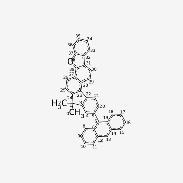 CC1(C)c2cc(-c3c4ccccc4cc4ccccc34)ccc2-c2c1ccc1c2ccc2c3ccccc3oc12